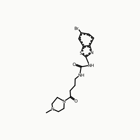 CN1CCN(C(=O)CCCNC(=O)Nc2nc3ccc(Br)cc3s2)CC1